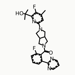 Cc1cc(N2CC3CN(C(=O)c4c(F)cccc4-c4ncccn4)CC3C2)nc(C(C)(C)O)c1F